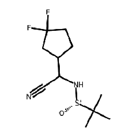 CC(C)(C)[S@+]([O-])NC(C#N)C1CCC(F)(F)C1